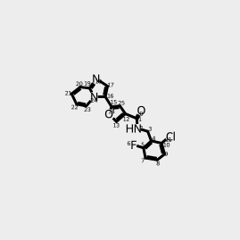 O=C(NCc1c(F)cccc1Cl)c1coc(-c2cnc3ccccn23)c1